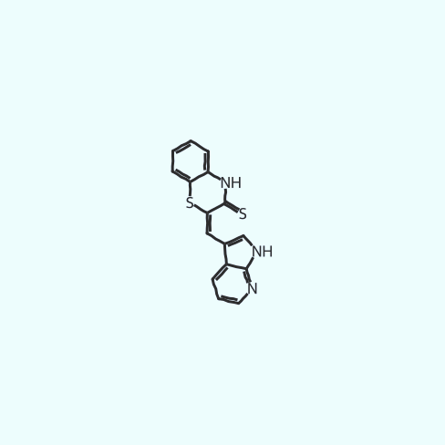 S=C1Nc2ccccc2S/C1=C/c1c[nH]c2ncccc12